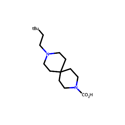 CC(C)(C)CCN1CCC2(CC1)CCN(C(=O)O)CC2